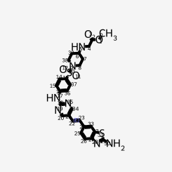 COC(=O)CNC1CCN(S(=O)(=O)c2ccc(Nc3ncc(/C=C/c4ccc5nc(N)sc5c4)cn3)cc2)CC1